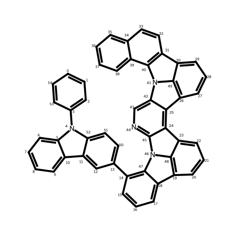 c1ccc(-n2c3ccccc3c3cc(-c4cccc5c6cccc7c8c9c%10cccc%11c%12ccc%13ccccc%13c%12n(c9cnc8n(c45)c67)c%11%10)ccc32)cc1